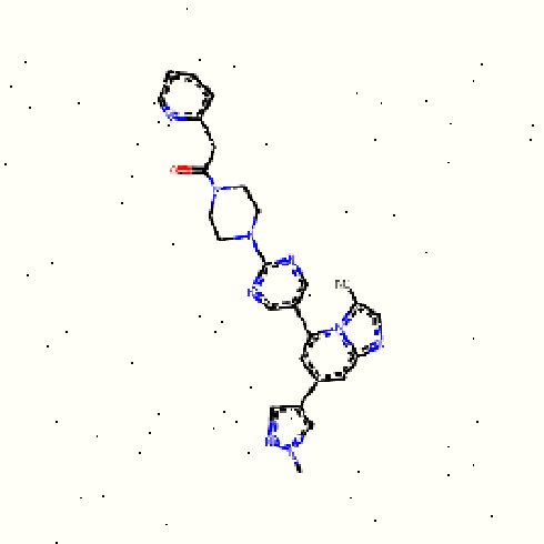 Cn1cc(-c2cc(-c3cnc(N4CCN(C(=O)Cc5ccccn5)CC4)nc3)n3c(C#N)cnc3c2)cn1